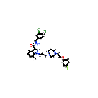 CCc1cccc2c(C(=O)NCc3ccc(Cl)c(Cl)c3)cn(CCCN3CCCN(CCOc4ccc(F)cc4)CC3)c12